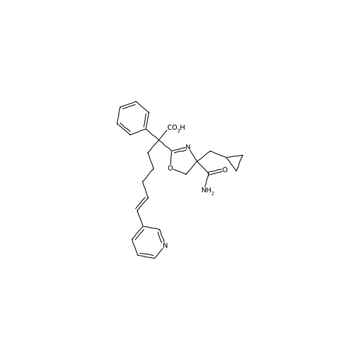 NC(=O)C1(CC2CC2)COC(C(CCCC=Cc2cccnc2)(C(=O)O)c2ccccc2)=N1